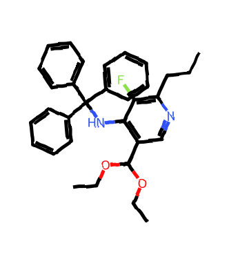 CCCc1ncc(C(OCC)OCC)c(NC(c2ccccc2)(c2ccccc2)c2ccccc2)c1F